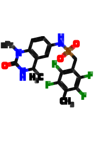 CCCN1C(=O)NC(C)c2cc(NS(=O)(=O)Cc3c(F)c(F)c(C)c(F)c3F)ccc21